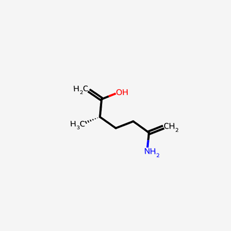 C=C(N)CC[C@H](C)C(=C)O